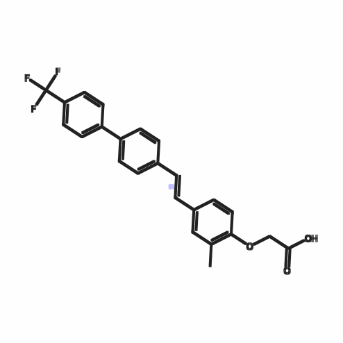 Cc1cc(/C=C/c2ccc(-c3ccc(C(F)(F)F)cc3)cc2)ccc1OCC(=O)O